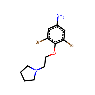 Nc1cc(Br)c(OCCN2CCCC2)c(Br)c1